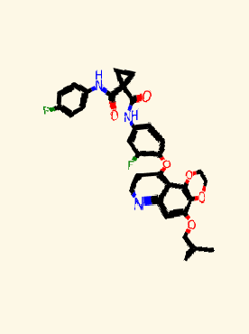 CC(C)COc1cc2nccc(Oc3ccc(NC(=O)C4(C(=O)Nc5ccc(F)cc5)CC4)cc3F)c2c2c1OCCO2